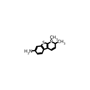 CC1C=Cc2c(sc3cc(N)ccc23)N1C